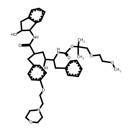 COCCOCC(C)(C)OC(=O)NC(Cc1ccccc1)C(O)CC(Cc1ccc(OCCN2CCOCC2)cc1)C(=O)NC1c2ccccc2CC1O